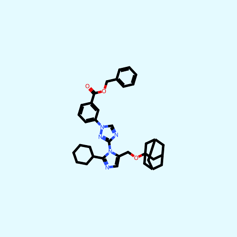 O=C(OCc1ccccc1)c1cccc(-n2cnc(-n3c(COC45CC6CC(CC(C6)C4)C5)cnc3C3CCCCC3)n2)c1